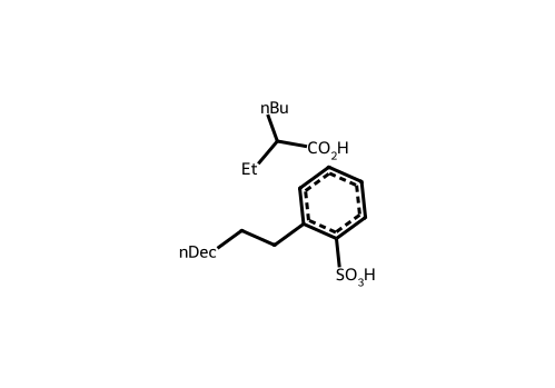 CCCCC(CC)C(=O)O.CCCCCCCCCCCCc1ccccc1S(=O)(=O)O